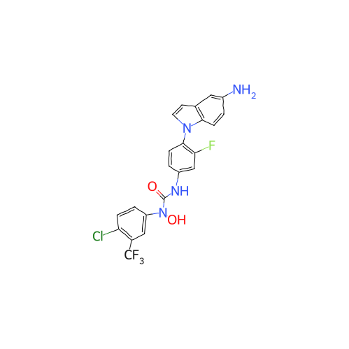 Nc1ccc2c(ccn2-c2ccc(NC(=O)N(O)c3ccc(Cl)c(C(F)(F)F)c3)cc2F)c1